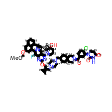 COCOc1cc(-c2ncc3c(N4CCC[C@@](C)(O)C4)nc(OCC4(CN5CCN(CC6CCC7(CC6)CCN(C(=O)c6ccc(Cl)c(N8CCC(=O)NC8=O)c6)CC7)CC5)CC4)nc3c2F)c2c(C#C[Si](C(C)C)(C(C)C)C(C)C)cccc2c1